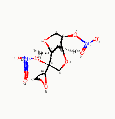 O=[N+]([O-])O[C@@H]1CO[C@H]2[C@@H]1OC[C@]2(O[N+](=O)[O-])C1CO1